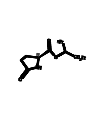 CCCC(OC(=O)[C@@H]1CCC(=O)N1)C(=O)OCC